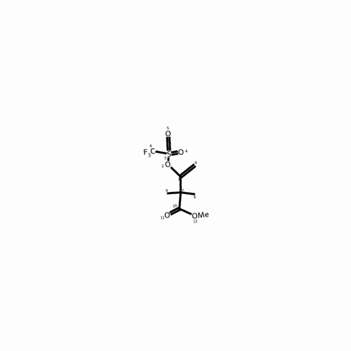 C=C(OS(=O)(=O)C(F)(F)F)C(C)(C)C(=O)OC